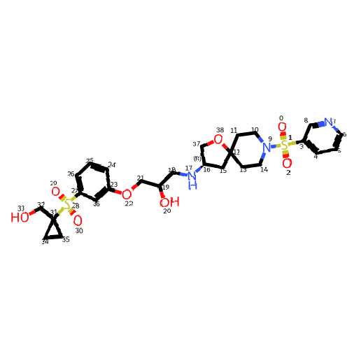 O=S(=O)(c1cccnc1)N1CCC2(CC1)C[C@@H](NCC(O)COc1cccc(S(=O)(=O)C3(CO)CC3)c1)CO2